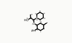 CC1CCC(C(C)C)C(OC(C(C)O)N2CCCCC2)C1